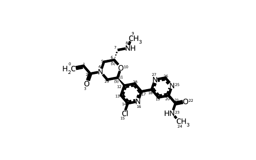 C=CC(=O)N1C[C@H](CNC)O[C@@H](c2cc(Cl)nc(-c3cc(C(=O)NC)ncn3)c2)C1